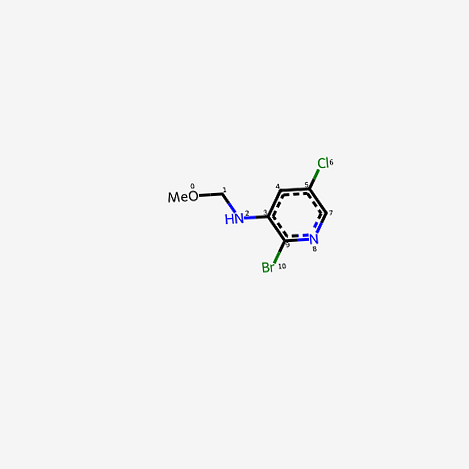 COCNc1cc(Cl)cnc1Br